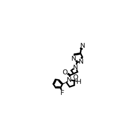 N#Cc1cnc(N2CC3(C2)O[C@@H]2CC[C@@H](c4ccccc4F)N2C3=O)nc1